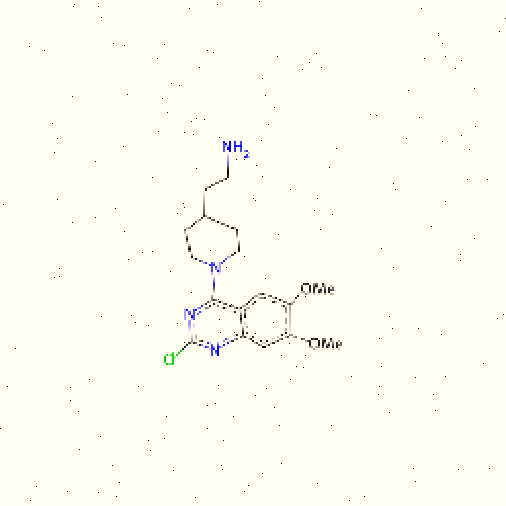 COc1cc2nc(Cl)nc(N3CCC(CCN)CC3)c2cc1OC